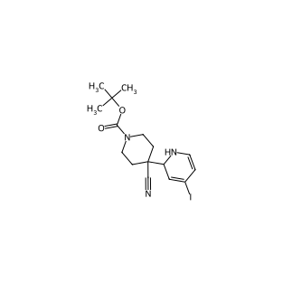 CC(C)(C)OC(=O)N1CCC(C#N)(C2C=C(I)C=CN2)CC1